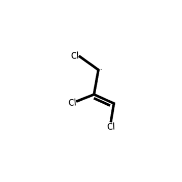 Cl[CH]/C(Cl)=C/Cl